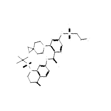 CC(C)(C)S(=O)(=O)N1CCC(=O)c2ccc(NC(=O)c3ccc(NS(=O)(=O)CCO)cc3N3CCC4(CC3)CC4)cc21